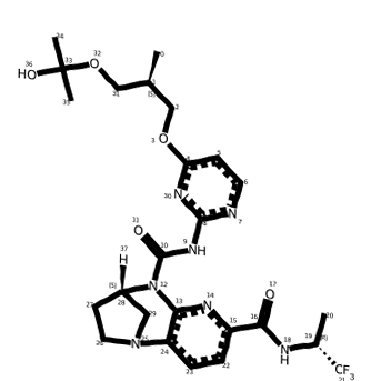 C[C@@H](COc1ccnc(NC(=O)N2c3nc(C(=O)N[C@H](C)C(F)(F)F)ccc3N3CC[C@H]2C3)n1)COC(C)(C)O